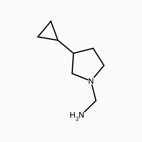 NCN1CCC(C2CC2)C1